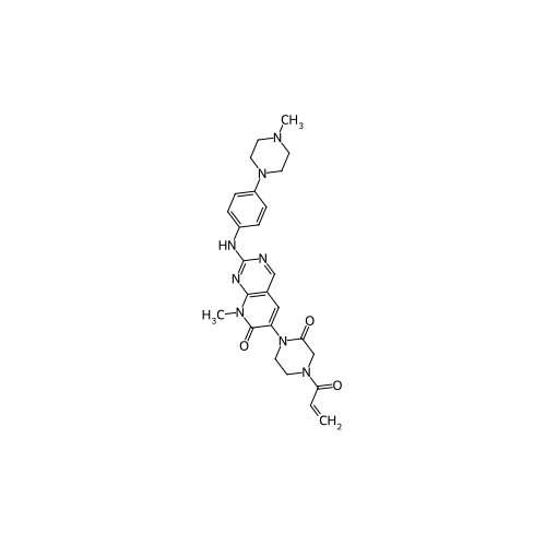 C=CC(=O)N1CCN(c2cc3cnc(Nc4ccc(N5CCN(C)CC5)cc4)nc3n(C)c2=O)C(=O)C1